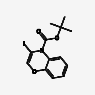 CC(C)(C)OC(=O)N1C(I)=COc2ccccc21